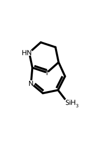 [SiH3]C1=CC2CCNC(=I2)N=C1